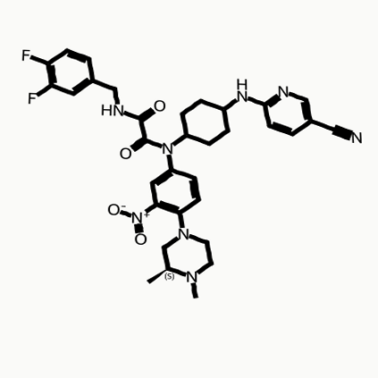 C[C@H]1CN(c2ccc(N(C(=O)C(=O)NCc3ccc(F)c(F)c3)C3CCC(Nc4ccc(C#N)cn4)CC3)cc2[N+](=O)[O-])CCN1C